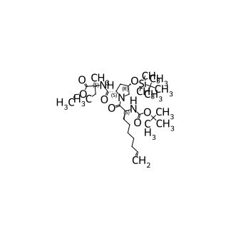 C=CCCCCC[C@H](NC(=O)OC(C)(C)C)C(=O)N1C[C@H](O[Si](C)(C)C(C)(C)C)C[C@H]1C(=O)N[C@@](C)(CC)C(=O)OCC